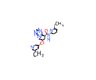 CCc1cccc(NC(=O)c2cc(Oc3cncc(C)c3)cn3ncnc23)n1